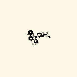 CCOC(=O)c1cc2n(n1)CCN(C(=O)Nc1c(-c3ccccc3F)ccnc1N1CCC(F)(P)C1)C2